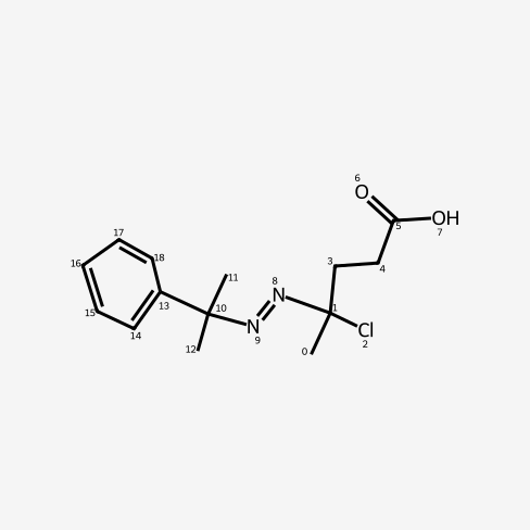 CC(Cl)(CCC(=O)O)N=NC(C)(C)c1ccccc1